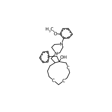 COc1ccccc1N1CCN(CC2CCCCCCCCCCC2(O)Cc2ccccc2)CC1